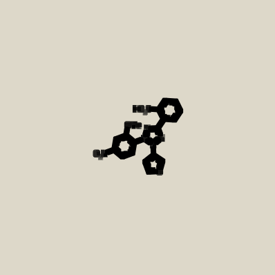 COc1cc([N+](=O)[O-])ccc1-[n+]1nc(-c2ccccc2S(=O)(=O)O)nn1-c1ccoc1